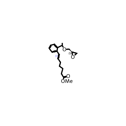 COC(=O)CCCC/C=C/c1ccccc1C(C)OC[C@H]1CO1